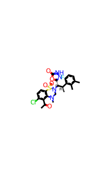 CC(=O)c1c(Cl)ccc2c1N(C)CN([C@H](c1n[nH]c(=O)o1)[C@H](C)c1c(F)ccc(C)c1C)S2(=O)=O